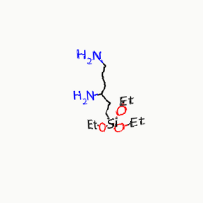 CCO[Si](CCC(N)CCCN)(OCC)OCC